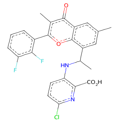 Cc1cc(C(C)Nc2ccc(Cl)nc2C(=O)O)c2oc(-c3cccc(F)c3F)c(C)c(=O)c2c1